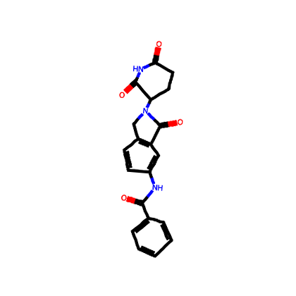 O=C1CCC(N2Cc3ccc(NC(=O)c4ccccc4)cc3C2=O)C(=O)N1